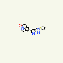 CCSNCc1cncc(-c2cc3c4c(c2)CCN4C(=O)CC3)c1